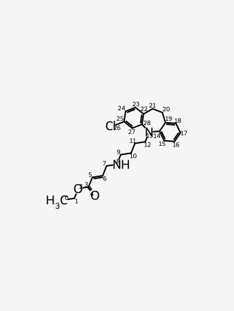 CCOC(=O)/C=C/CNCCCCN1c2ccccc2CCc2ccc(Cl)cc21